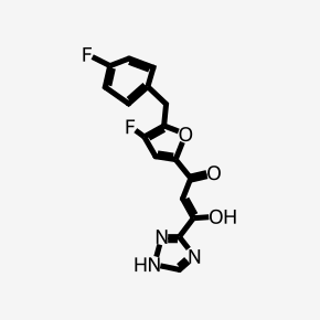 O=C(C=C(O)c1nc[nH]n1)c1cc(F)c(Cc2ccc(F)cc2)o1